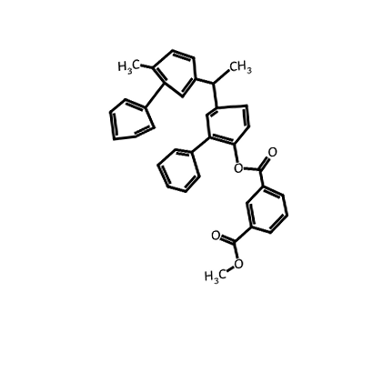 COC(=O)c1cccc(C(=O)Oc2ccc(C(C)c3ccc(C)c(-c4ccccc4)c3)cc2-c2ccccc2)c1